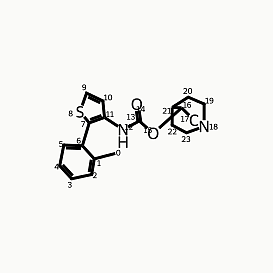 Cc1ccccc1-c1sccc1NC(=O)OC1CN2CCC1CC2